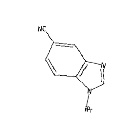 CC(C)n1cnc2cc(C#N)ccc21